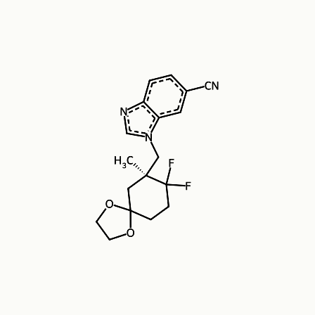 C[C@@]1(Cn2cnc3ccc(C#N)cc32)CC2(CCC1(F)F)OCCO2